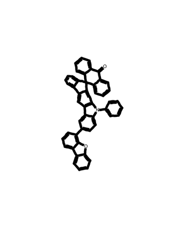 O=C1c2ccccc2C2(c3ccccc31)c1ccccc1-c1cc3c4cc(-c5cccc6c5oc5ccccc56)ccc4n(-c4ccccc4)c3cc12